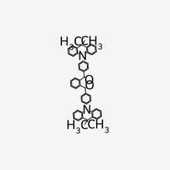 CC1(C)c2ccccc2N(c2ccc(C(=O)c3ccccc3C(=O)c3ccc(N4c5ccccc5C(C)(C)c5ccccc54)cc3)cc2)c2ccccc21